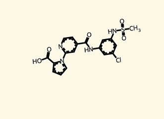 CS(=O)(=O)Nc1cc(Cl)cc(NC(=O)c2ccnc(-n3cccc3C(=O)O)c2)c1